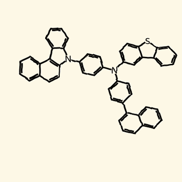 c1ccc2c(-c3ccc(N(c4ccc(-n5c6ccccc6c6c7ccccc7ccc65)cc4)c4ccc5sc6ccccc6c5c4)cc3)cccc2c1